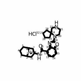 CN1C2CCCC1CC(NC(=O)c1cccc3oc(N4CCNCC45CCCC5)nc13)C2.Cl